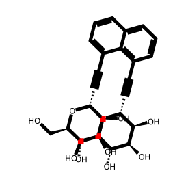 OC[C@H]1O[C@H](C#Cc2cccc3cccc(C#C[C@H]4O[C@H](CO)[C@@H](O)[C@H](O)[C@@H]4O)c23)[C@@H](O)[C@@H](O)[C@@H]1O